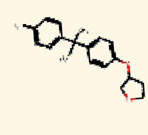 Cc1ccc(C(C)(C)c2ccc(OC3CCOC3)cc2)cc1